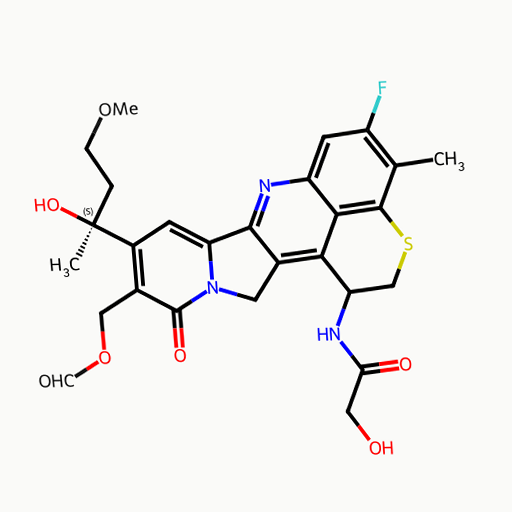 COCC[C@](C)(O)c1cc2n(c(=O)c1COC=O)Cc1c-2nc2cc(F)c(C)c3c2c1C(NC(=O)CO)CS3